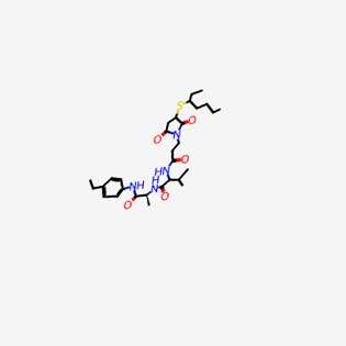 CCCCC(CC)SC1CC(=O)N(CCC(=O)NC(C(=O)N[C@@H](C)C(=O)Nc2ccc(CC)cc2)C(C)C)C1=O